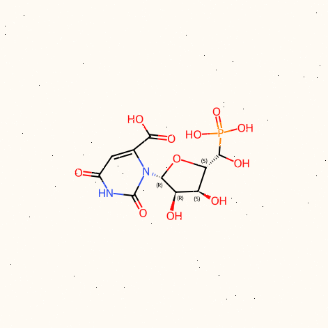 O=C(O)c1cc(=O)[nH]c(=O)n1[C@@H]1O[C@H](C(O)P(=O)(O)O)[C@@H](O)[C@H]1O